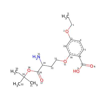 CCOc1ccc(C(=O)O)c(OCCC(N)C(=O)OC(C)(C)C)c1